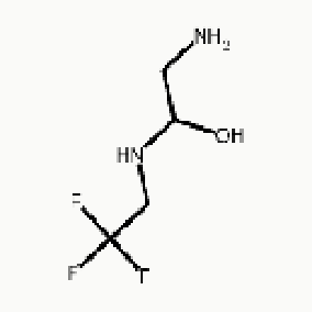 NCC(O)NCC(F)(F)F